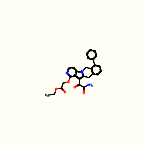 CCOC(=O)COc1nccc2c1c(C(=O)C(N)=O)c1n2Cc2c(cccc2-c2ccccc2)C1